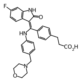 O=C(O)CCc1ccc(C(Nc2ccc(CN3CCOCC3)cc2)=C2C(=O)Nc3cc(F)ccc32)cc1